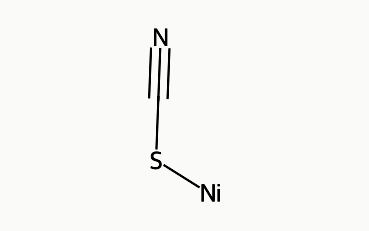 N#C[S][Ni]